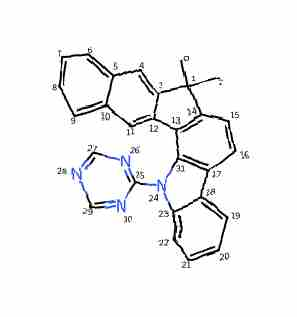 CC1(C)c2cc3ccccc3cc2-c2c1ccc1c3ccccc3n(-c3ncncn3)c21